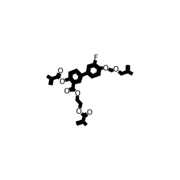 C=C(C)COCOc1ccc(-c2ccc(OC(=O)C(=C)C)c(C(=O)OCCOC(=O)C(=C)C)c2)cc1F